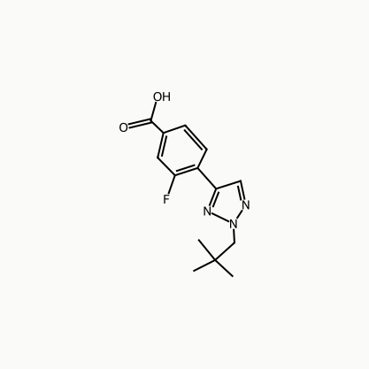 CC(C)(C)Cn1ncc(-c2ccc(C(=O)O)cc2F)n1